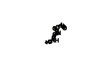 COc1cc2c(Oc3ccc(Nc4ccc(C(C)(C)C)cc4)cc3)ccnc2cc1OCCC(C)N1CCOCC1